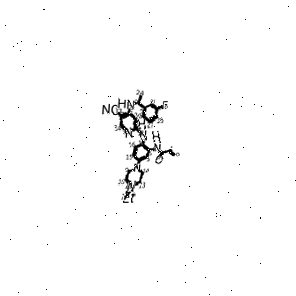 C=CC(=O)Nc1cc(N2CCN(CC)CC2)ccc1Nc1cc(NC(C)c2cccc(F)c2)c(C#N)cn1